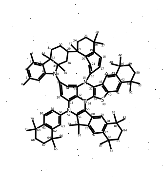 Cc1cc(C)c2c(c1)N1c3cc4c5c(c3)N(c3ccc6c(c3)C(C)(CCC6(C)C)C3CCC2(C)C1(C)C3)c1c(sc2cc3c(cc12)C(C)(C)CCC3(C)C)B5C1=C(N4c2ccc3c(c2)C(C)(C)CCC3(C)C)C(C)(C)c2cc3c(cc21)C(C)(C)CCC3(C)C